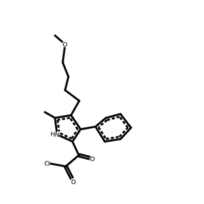 COCCCCc1c(C)[nH]c(C(=O)C(=O)Cl)c1-c1ccccc1